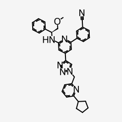 COC[C@@H](Nc1cc(-c2cn(Cc3cccc(C4CCCC4)n3)nn2)cc(-c2cccc(C#N)c2)n1)c1ccccc1